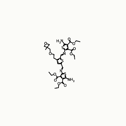 CCOC(=O)c1c(N)sc(/N=C/c2cc(CCOCC3(C)COC3)c(/C=N/c3sc(N)c(C(=O)OCC)c3C(=O)OCC)s2)c1C(=O)OCC